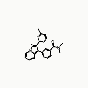 Cc1cccc(-c2nn3ccccc3c2-c2cccc(C(=O)N(C)C)c2)n1